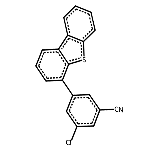 N#Cc1cc(Cl)cc(-c2cccc3c2sc2ccccc23)c1